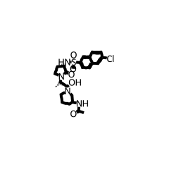 CC(=O)NC1CCCN(C(O)[C@H](C)N2CC[C@H](NS(=O)(=O)c3ccc4cc(Cl)ccc4c3)C2=O)C1